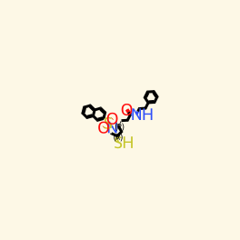 O=C(CC[C@@H]1C[C@@H](S)CN1S(=O)(=O)c1ccc2ccccc2c1)NCCc1ccccc1